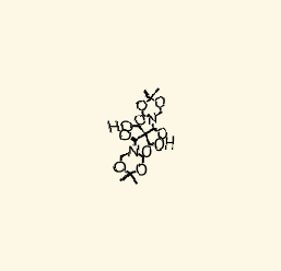 CC1(C)OCN(C(=O)C(C(=O)O)(C(=O)O)C(=O)N2COC(C)(C)OC2)CO1